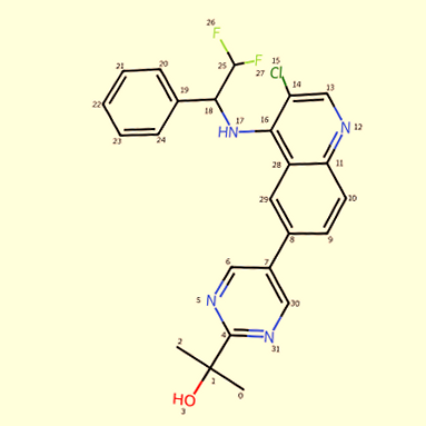 CC(C)(O)c1ncc(-c2ccc3ncc(Cl)c(NC(c4ccccc4)C(F)F)c3c2)cn1